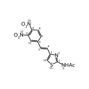 CC(=O)Nc1nc(/C=C/c2ccc([N+](=O)[O-])c([N+](=O)[O-])c2)cs1